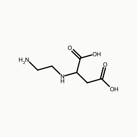 NCCNC(CC(=O)O)C(=O)O